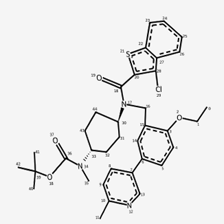 CCOc1ccc(-c2ccc(C)nc2)cc1CN(C(=O)c1sc2ccccc2c1Cl)[C@H]1CC[C@H](N(C)C(=O)OC(C)(C)C)CC1